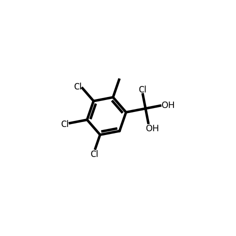 Cc1c(C(O)(O)Cl)cc(Cl)c(Cl)c1Cl